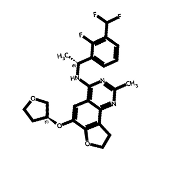 Cc1nc(N[C@H](C)c2cccc(C(F)F)c2F)c2cc(O[C@H]3CCOC3)c3c(c2n1)CCO3